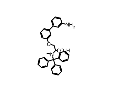 CN(C(COc1cccc(-c2cccc(N)c2)c1)C(=O)O)C(c1ccccc1)(c1ccccc1)c1ccccc1